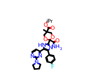 CC(C)OC(=O)C1(C)COC(C(N)=O)(c2nc(-c3ccc(F)cc3)c(-c3ccnc(N4CCCC4)n3)[nH]2)OC1